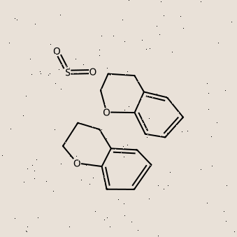 O=S=O.c1ccc2c(c1)CCCO2.c1ccc2c(c1)CCCO2